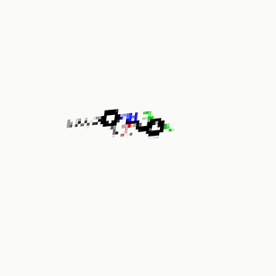 CCOC(=O)c1ccc(NC(=O)CCc2ccc(Cl)cc2Cl)c([N+](=O)[O-])c1